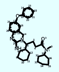 CN(C(=O)CCC(C1CCCCC1)N1Cc2cc(Oc3ccccc3)ccc2N=C1N)C1CCCCC1